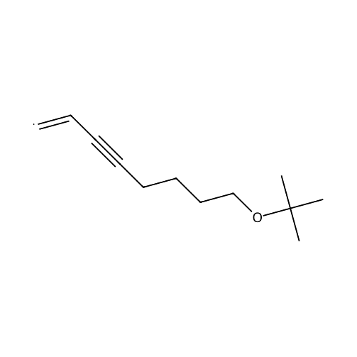 [CH]=CC#CCCCCOC(C)(C)C